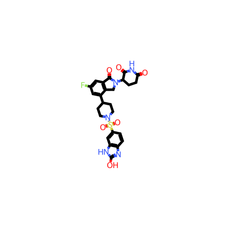 O=C1CCC(N2Cc3c(cc(F)cc3C3CCN(S(=O)(=O)c4ccc5nc(O)[nH]c5c4)CC3)C2=O)C(=O)N1